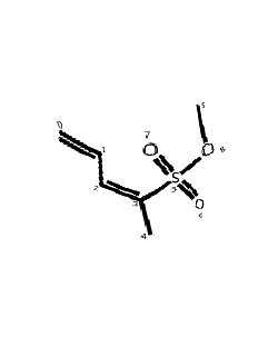 C=CC=C(C)S(=O)(=O)OC